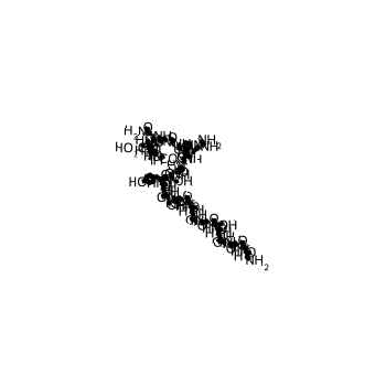 CC(C)C[C@H](NC(=O)[C@H](CC(=O)O)NC(=O)[C@H](CCC(N)=O)NC(=O)CNC(=O)CNC(=O)[C@@H]1CCCN1C(=O)[C@H](CCCNC(=N)N)NC(=O)CNC(=O)CNC(=O)[C@H](CO)NC(=O)[C@H](Cc1ccc(O)cc1)NC(=O)CNC(=O)[C@H](CO)NC(=O)CNC(=O)[C@H](C)NC(=O)CNC(=O)[C@H](C)NC(=O)CNC(=O)[C@H](CO)NC(=O)CNC(=O)[C@H](C)NC(=O)CNC(=O)[C@H](C)NC(=O)CN)C(=O)NCC(=O)O